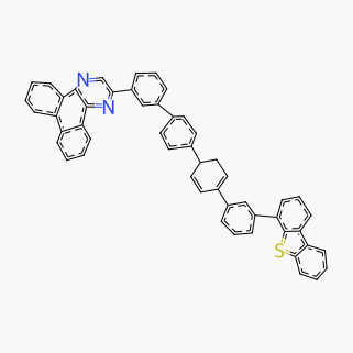 C1=CC(c2ccc(-c3cccc(-c4cnc5c6ccccc6c6ccccc6c5n4)c3)cc2)CC=C1c1cccc(-c2cccc3c2sc2ccccc23)c1